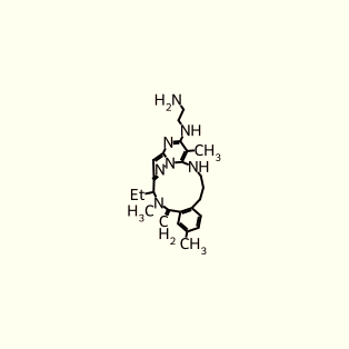 C=C1c2cc(C)ccc2CCCNc2c(C)c(NCCN)nc3cc(nn23)C(CC)N1C